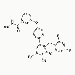 CC(C)(C)NC(=O)c1cccc(Oc2ccc(-c3cc(C(F)(F)F)c(C#N)c(=O)n3Cc3ccc(F)cc3F)cc2)c1